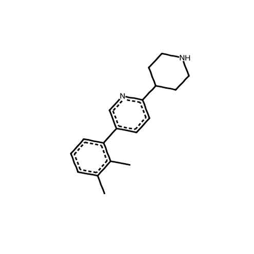 Cc1cccc(-c2ccc(C3CCNCC3)nc2)c1C